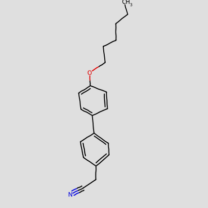 CCCCCCOc1ccc(-c2ccc(CC#N)cc2)cc1